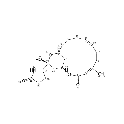 CC1=CC(=O)O[C@@H]2C[C@@H](CCCC=CCC1)O[C@@](O)(C1CSC(=O)N1)C2